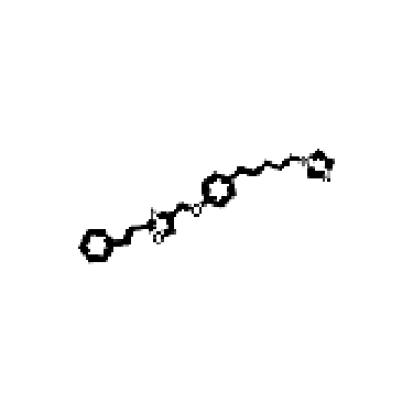 C(=C\c1nc(COc2ccc(CCCCCn3ccnc3)cc2)co1)/c1ccccc1